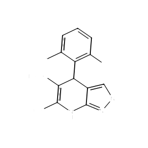 CCCC1=C(C(=O)OCC)C(c2c(F)cccc2Cl)c2c[nH]nc2N1